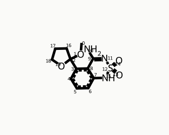 COC1(c2cccc3c2C(N)=NS(=O)(=O)N3)CCCO1